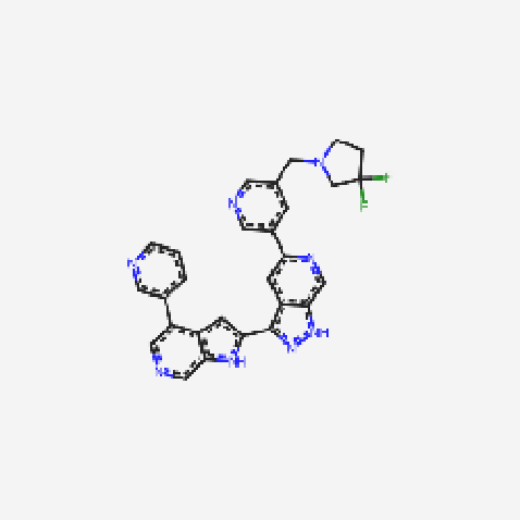 FC1(F)CCN(Cc2cncc(-c3cc4c(-c5cc6c(-c7cccnc7)cncc6[nH]5)n[nH]c4cn3)c2)C1